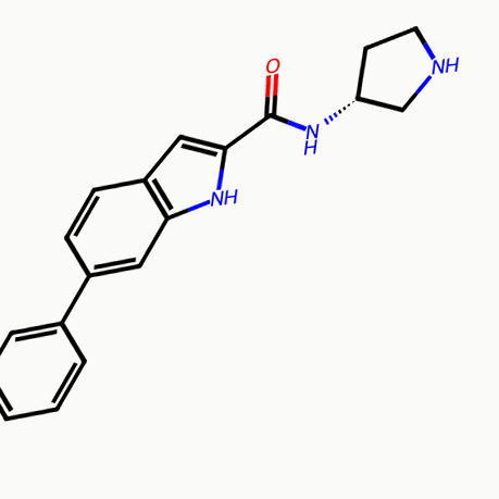 O=C(N[C@@H]1CCNC1)c1cc2ccc(-c3ccccc3)cc2[nH]1